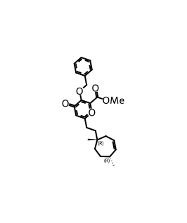 COC(=O)c1oc(CC[C@]2(C)CC=C[C@H](C)CC2)cc(=O)c1OCc1ccccc1